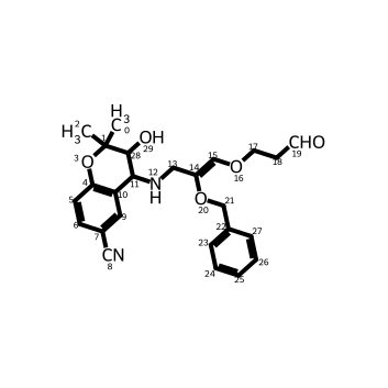 CC1(C)Oc2ccc(C#N)cc2C(NC/C(=C/OCCC=O)OCc2ccccc2)C1O